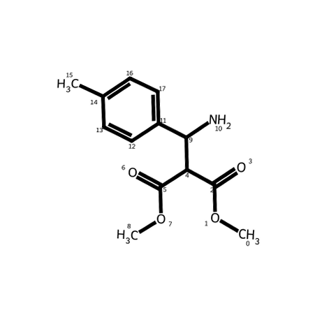 COC(=O)C(C(=O)OC)C(N)c1ccc(C)cc1